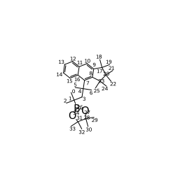 CC(C)(CC(C)(C)c1c2c(cc3ccccc13)C(C)(C)C(C)(C)C2(C)C)B1OC(C)(C)C(C)(C)O1